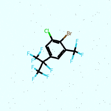 FC(F)(F)c1cc(C(F)(C(F)(F)F)C(F)(F)F)cc(Cl)c1Br